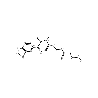 CSCCC(=O)OCOC(=O)N(C)C(C)C(=O)c1ccc2c(c1)OCO2